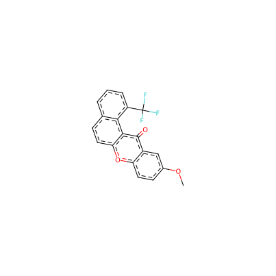 COc1ccc2oc3ccc4cccc(C(F)(F)F)c4c3c(=O)c2c1